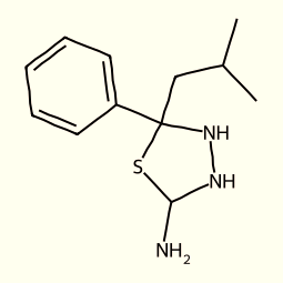 CC(C)CC1(c2ccccc2)NNC(N)S1